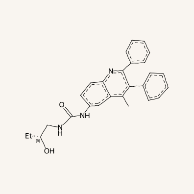 CC[C@@H](O)CNC(=O)Nc1ccc2nc(-c3ccccc3)c(-c3ccccc3)c(C)c2c1